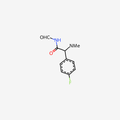 CNC(C(=O)NC=O)c1ccc(F)cc1